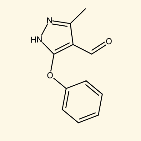 Cc1n[nH]c(Oc2ccccc2)c1C=O